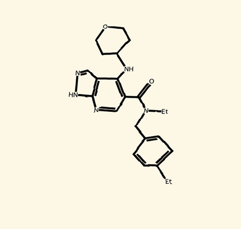 CCc1ccc(CN(CC)C(=O)c2cnc3[nH]ncc3c2NC2CCOCC2)cc1